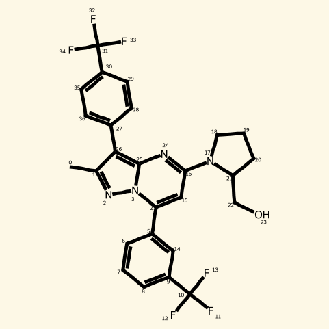 Cc1nn2c(-c3cccc(C(F)(F)F)c3)cc(N3CCCC3CO)nc2c1-c1ccc(C(F)(F)F)cc1